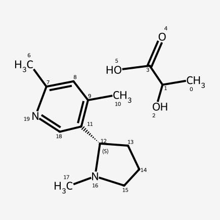 CC(O)C(=O)O.Cc1cc(C)c([C@@H]2CCCN2C)cn1